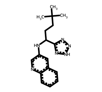 CC(C)(C)CCC(Nc1cnc2ccccc2c1)c1nn[nH]n1